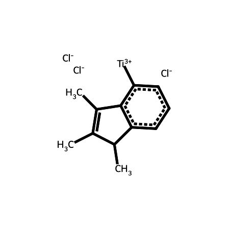 CC1=C(C)C(C)c2ccc[c]([Ti+3])c21.[Cl-].[Cl-].[Cl-]